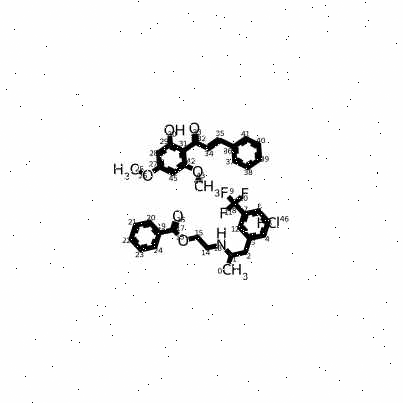 CC(Cc1cccc(C(F)(F)F)c1)NCCOC(=O)c1ccccc1.COc1cc(O)c(C(=O)C=Cc2ccccc2)c(OC)c1.Cl